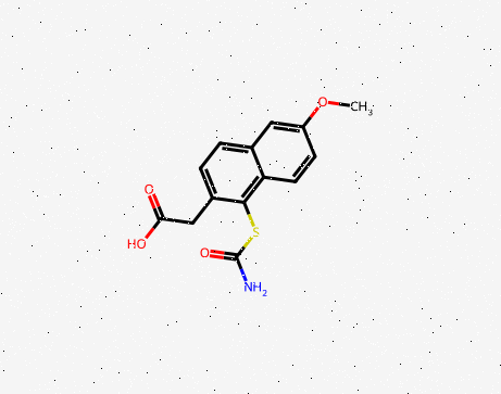 COc1ccc2c(SC(N)=O)c(CC(=O)O)ccc2c1